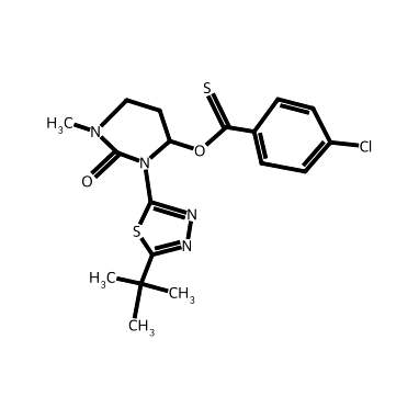 CN1CCC(OC(=S)c2ccc(Cl)cc2)N(c2nnc(C(C)(C)C)s2)C1=O